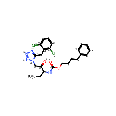 O=C(O)CC(NC(=O)OCCCCc1ccccc1)C(=O)Cn1nnnc1Cc1c(Cl)cccc1Cl